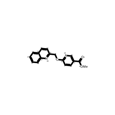 COC(=O)c1ccc(OCc2ccc3ccccc3n2)nc1